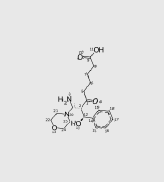 NC([C@H](C(=O)CCCCC(=O)O)[C@H](O)c1ccccc1)N1CCOCC1